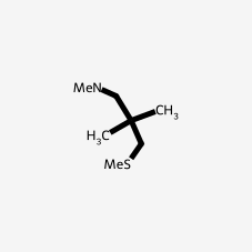 CNCC(C)(C)CSC